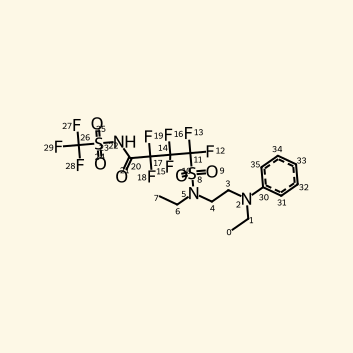 CCN(CCN(CC)S(=O)(=O)C(F)(F)C(F)(F)C(F)(F)C(=O)NS(=O)(=O)C(F)(F)F)c1ccccc1